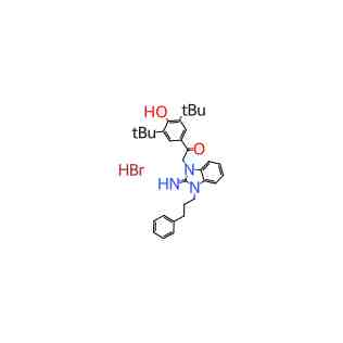 Br.CC(C)(C)c1cc(C(=O)Cn2c(=N)n(CCCc3ccccc3)c3ccccc32)cc(C(C)(C)C)c1O